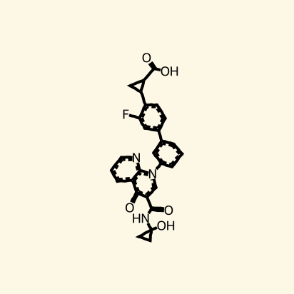 O=C(NC1(O)CC1)c1cn(-c2cccc(-c3ccc(C4CC4C(=O)O)c(F)c3)c2)c2ncccc2c1=O